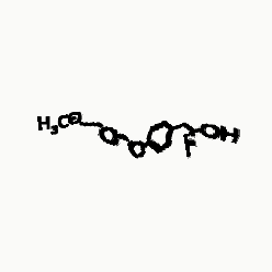 COCCOCOc1ccc(CC(O)F)cc1